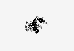 COc1ccc(C(=O)N2CCc3c(C)c([C@H](OC(C)(C)C)C(=O)O)c(-c4cc(F)c5c(c4C)CCCO5)c(C)c3C2)cc1F